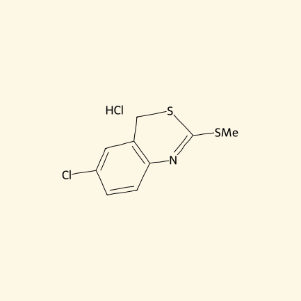 CSC1=Nc2ccc(Cl)cc2CS1.Cl